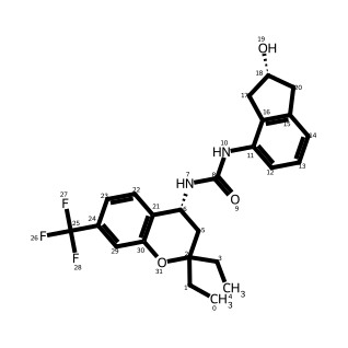 CCC1(CC)C[C@@H](NC(=O)Nc2cccc3c2C[C@H](O)C3)c2ccc(C(F)(F)F)cc2O1